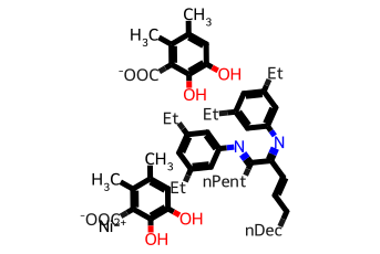 CCCCCCCCCCCC=CC(=Nc1cc(CC)cc(CC)c1)C(CCCCC)=Nc1cc(CC)cc(CC)c1.Cc1cc(O)c(O)c(C(=O)[O-])c1C.Cc1cc(O)c(O)c(C(=O)[O-])c1C.[Ni+2]